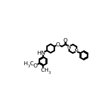 COc1cc(NC2CCC(OCC(=O)N3CCN(c4ccccc4)CC3)CC2)ccc1C